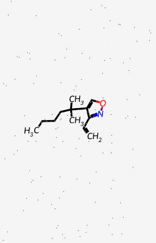 C=Cc1nocc1C(C)(C)CCCC